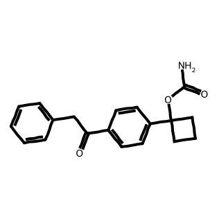 NC(=O)OC1(c2ccc(C(=O)Cc3ccccc3)cc2)CCC1